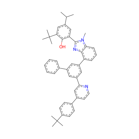 CC(C)c1cc(-c2nc3c(-c4cc(-c5ccccc5)cc(-c5cc(-c6ccc(C(C)(C)C)cc6)ccn5)c4)cccc3n2C)c(O)c(C(C)(C)C)c1